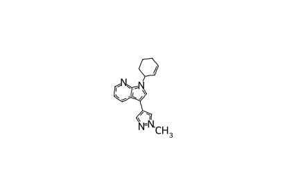 Cn1cc(-c2cn(C3C=CCCC3)c3ncccc23)cn1